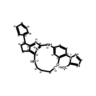 Cc1ncnn1-c1ccc2cc1OCCCCNc1nc(nc3c1CCC3c1ccccc1)N2